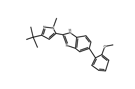 COc1ccccc1-c1ccc2[nH]c(-c3cc(C(C)(C)C)nn3C)nc2c1